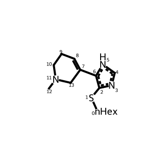 CCCCCCSc1nc[nH]c1C1=CCCN(C)C1